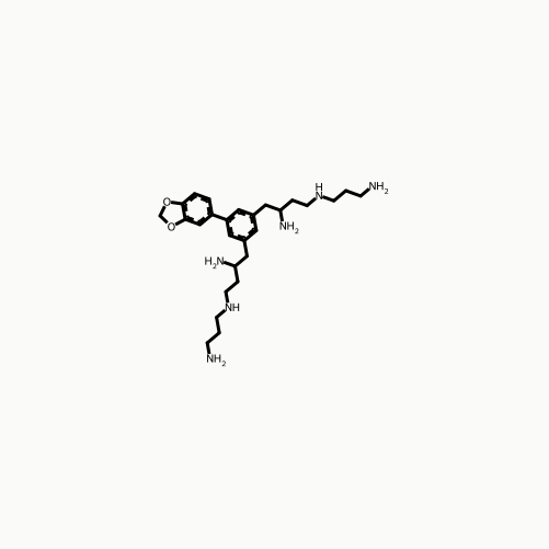 NCCCNCCC(N)Cc1cc(CC(N)CCNCCCN)cc(-c2ccc3c(c2)OCO3)c1